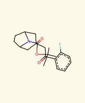 CC(C)(C)OC(=O)N1C2CCC1CC(CC(=O)c1ccccc1F)C2